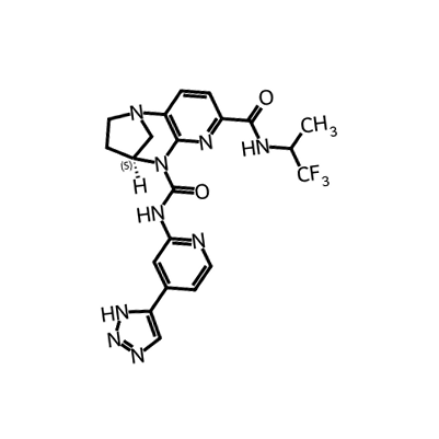 CC(NC(=O)c1ccc2c(n1)N(C(=O)Nc1cc(-c3cnn[nH]3)ccn1)[C@H]1CCN2C1)C(F)(F)F